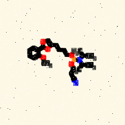 COc1ccccc1C1OC=C(CCCCOP(OCCC#N)N(C(C)C)C(C)C)O1